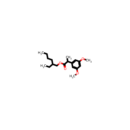 CCCCC(CC)COC(=O)C(C)c1cc(OC)cc(OC)c1